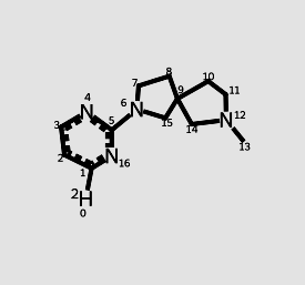 [2H]c1ccnc(N2CCC3(CCN(C)C3)C2)n1